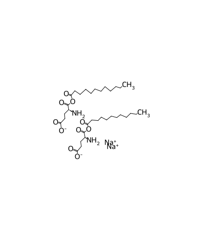 CCCCCCCCCCCC(=O)OC(=O)[C@@H](N)CCC(=O)[O-].CCCCCCCCCCCC(=O)OC(=O)[C@@H](N)CCC(=O)[O-].[Na+].[Na+]